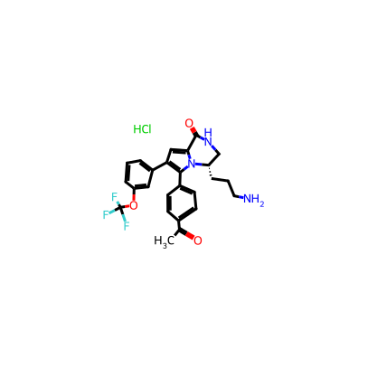 CC(=O)c1ccc(-c2c(-c3cccc(OC(F)(F)F)c3)cc3n2[C@@H](CCCN)CNC3=O)cc1.Cl